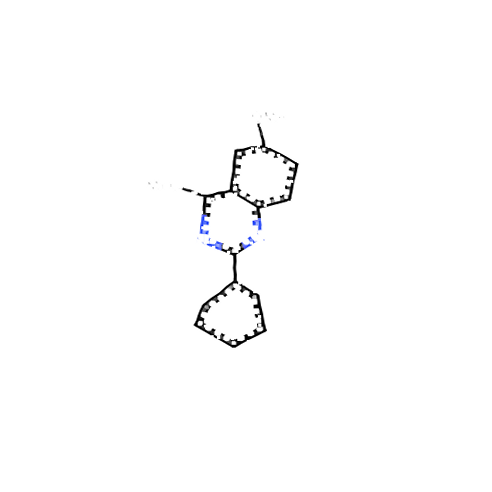 COc1ccc2nc(-c3ccccc3)nc(OC)c2c1